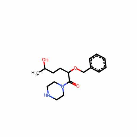 CC(O)CCC(OCc1ccccc1)C(=O)N1CCNCC1